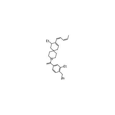 C=C(c1ccc(CC(C)C)c(CC)c1)N1CCC2(CC=C(/C=C\C=C/C)C(CC)C2)CC1